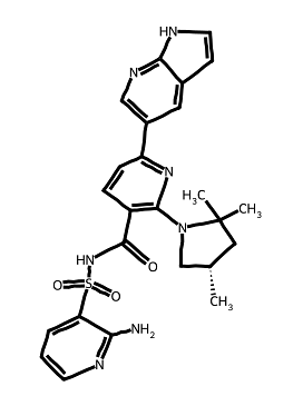 C[C@@H]1CN(c2nc(-c3cnc4[nH]ccc4c3)ccc2C(=O)NS(=O)(=O)c2cccnc2N)C(C)(C)C1